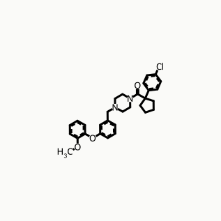 COc1ccccc1Oc1cccc(CN2CCN(C(=O)C3(c4ccc(Cl)cc4)CCCC3)CC2)c1